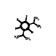 CC(C)c1c(F)c(F)c(F)c(C(C)C)c1Br